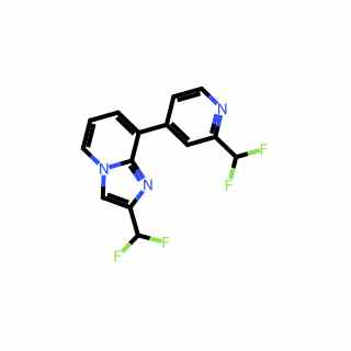 FC(F)c1cc(-c2cccn3cc(C(F)F)nc23)ccn1